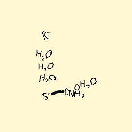 N#C[S-].O.O.O.O.O.[K+]